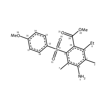 CCc1c(C)c(N)c(C)c(S(=O)(=O)c2ccc(OC)cc2)c1C(=O)OC